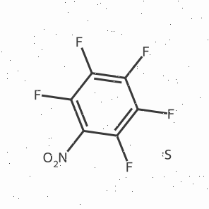 O=[N+]([O-])c1c(F)c(F)c(F)c(F)c1F.[S]